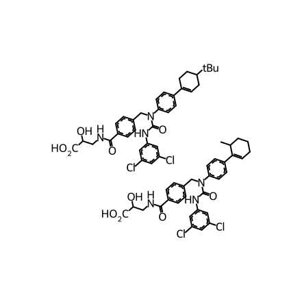 CC(C)(C)C1CC=C(c2ccc(N(Cc3ccc(C(=O)NCC(O)C(=O)O)cc3)C(=O)Nc3cc(Cl)cc(Cl)c3)cc2)CC1.CC1CCCC=C1c1ccc(N(Cc2ccc(C(=O)NCC(O)C(=O)O)cc2)C(=O)Nc2cc(Cl)cc(Cl)c2)cc1